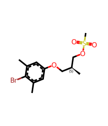 Cc1cc(OC[C@H](C)COS(C)(=O)=O)cc(C)c1Br